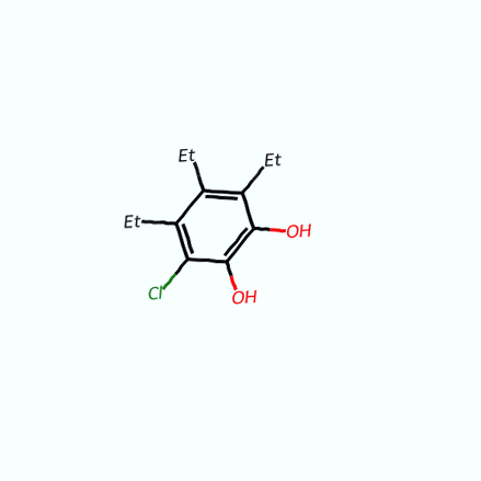 CCc1c(O)c(O)c(Cl)c(CC)c1CC